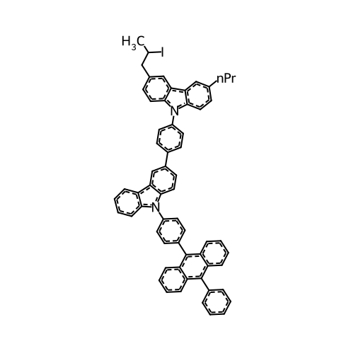 CCCc1ccc2c(c1)c1cc(CC(C)I)ccc1n2-c1ccc(-c2ccc3c(c2)c2ccccc2n3-c2ccc(-c3c4ccccc4c(-c4ccccc4)c4ccccc34)cc2)cc1